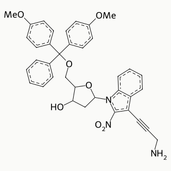 COc1ccc(C(OCC2OC(n3c([N+](=O)[O-])c(C#CCN)c4ccccc43)CC2O)(c2ccccc2)c2ccc(OC)cc2)cc1